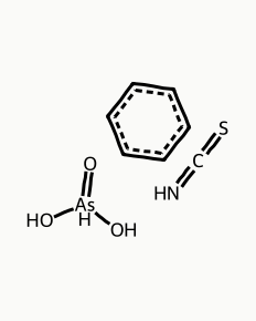 N=C=S.O=[AsH](O)O.c1ccccc1